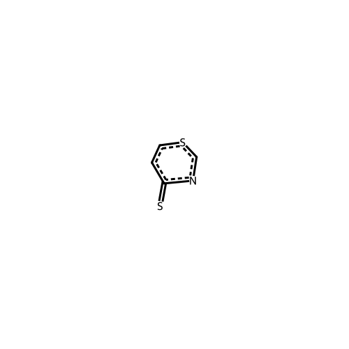 S=c1ccscn1